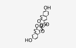 O=c1sc2cc(O)ccc2cc1S(=O)(=O)CS(=O)(=O)c1cc2ccc(O)cc2sc1=O